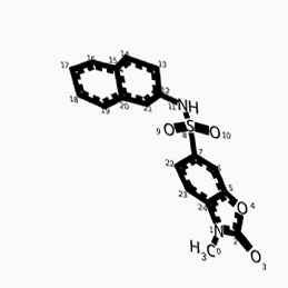 Cn1c(=O)oc2cc(S(=O)(=O)Nc3ccc4ccccc4c3)ccc21